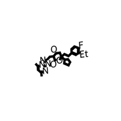 CCc1cc(CCC2(C3CCCC3)CC(=O)C(Cc3nc4nc(C)cc(C)n4n3)C(=O)O2)ccc1F